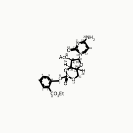 CCOC(=O)c1ccccc1COP1(=O)OC[C@H]2O[C@@H](n3ccc(N)nc3=O)[C@H](OC(C)=O)[C@@H]2O1